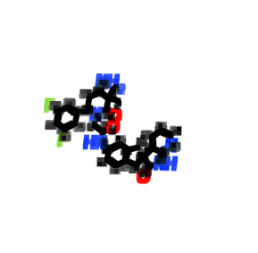 CC1(C)C(=O)N(CC(=O)Nc2ccc3c(c2)C[C@@]2(C3)C(=O)Nc3ncccc32)[C@H](c2cc(F)cc(F)c2)C[C@@H]1N